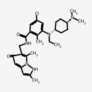 CCN(c1cc(Cl)cc(C(=O)NCc2c(C)n3[nH]c(C)cc3cc2=O)c1C)[C@H]1CC[C@H](N(C)C)CC1